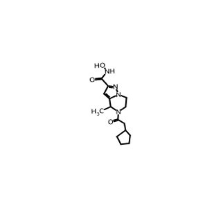 CC1c2cc(C(=O)NO)nn2CCN1C(=O)CC1CCCC1